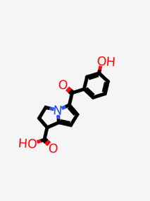 O=C(c1cccc(O)c1)c1ccc2n1CCC2C(=O)O